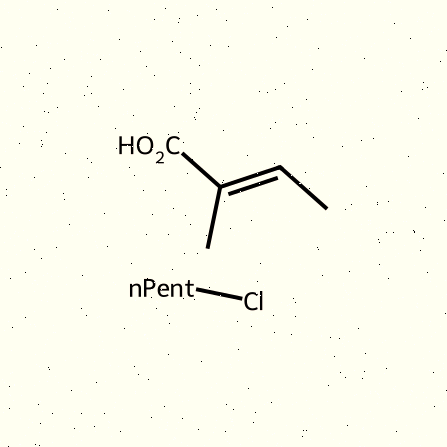 CC=C(C)C(=O)O.CCCCCCl